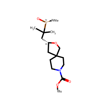 CN[S@+]([O-])C(C)(C)C[C@H]1CC2(CCN(C(=O)OC(C)(C)C)CC2)CO1